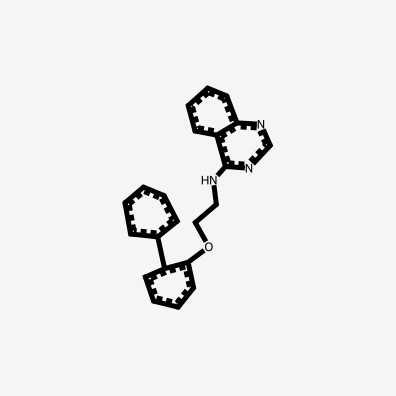 c1ccc(-c2ccccc2OCCNc2ncnc3ccccc23)cc1